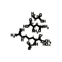 COC(=O)C(CCCNC(=N)N)N[N+](=O)[O-].Cl.NC(=O)CC(N)C(=O)O.NCC(=O)O